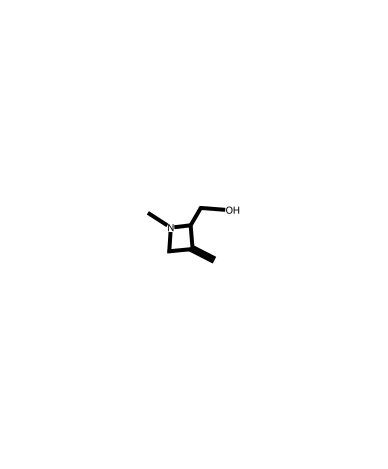 C=C1CN(C)C1CO